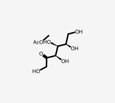 COC(C)=O.O=C(CO)[C@H](O)[C@@H](O)[C@H](O)CO